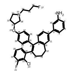 Nc1cccc(-c2ccc3c(c2)CCCC(c2cccc(F)c2Cl)=C3c2ccc(O[C@H]3CCN(CCCF)C3)cc2)c1